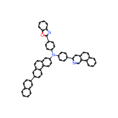 c1ccc2cc(-c3ccc4c(ccc5cc(N(c6ccc(-c7cc8ccc9ccccc9c8cn7)cc6)c6ccc(-c7nc8ccccc8o7)cc6)ccc54)c3)ccc2c1